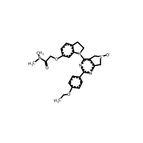 CCOc1ccc(-c2nc3c(c(N4CCc5ccc(OCC(=O)N(C)C)cc54)n2)C[S+]([O-])C3)cc1